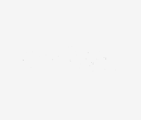 CC1(O)[C@@H](O)C(COCOc2ccccc2)O[C@H]1n1ccc(=O)[nH]c1=S